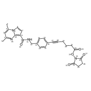 Cc1cc(C)n2ccc(C(=O)NCc3ccc(C#CCCCC(=O)ON4C(=O)CCC4=O)cc3)c2n1